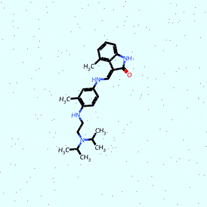 Cc1cc(N/C=C2/C(=O)Nc3cccc(C)c32)ccc1NCCN(C(C)C)C(C)C